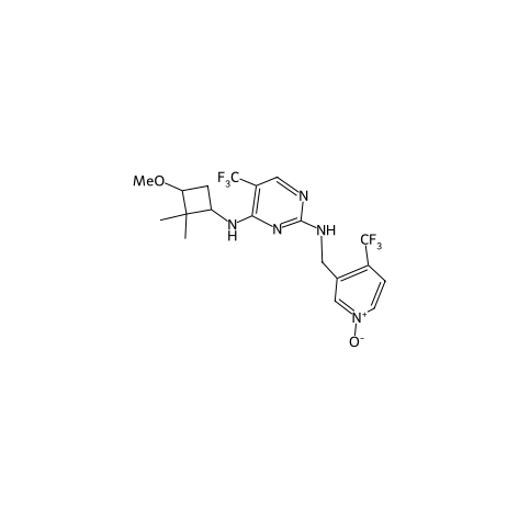 COC1CC(Nc2nc(NCc3c[n+]([O-])ccc3C(F)(F)F)ncc2C(F)(F)F)C1(C)C